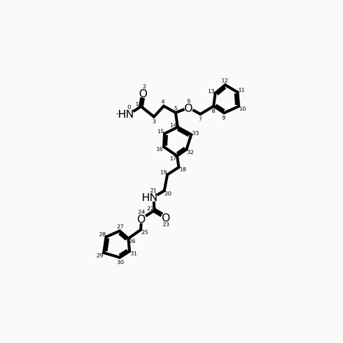 [NH]C(=O)CCC(OCc1ccccc1)c1ccc(CCCNC(=O)OCc2ccccc2)cc1